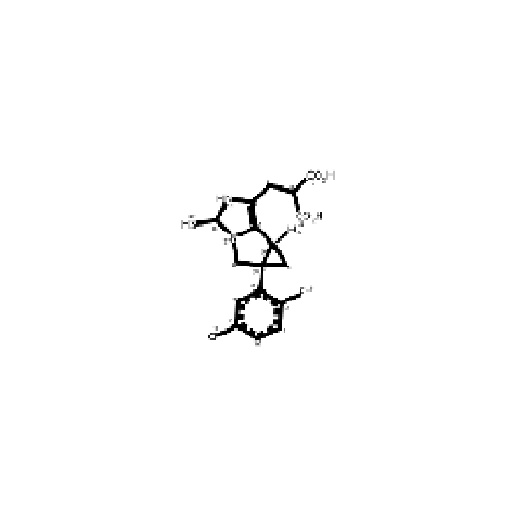 O=C(O)C(CC1=C2[C@@H]3C[C@]3(c3cc(Cl)ccc3F)CN2C(S)N1)C(=O)O